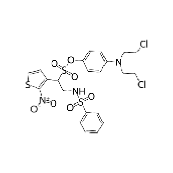 O=[N+]([O-])c1sccc1C(CNS(=O)(=O)c1ccccc1)S(=O)(=O)Oc1ccc(N(CCCl)CCCl)cc1